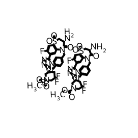 COC(=O)N1CC(n2nnc(-c3cc4c(cc3F)S(=O)(=O)C[C@H](N)C(=O)N4Cc3ccc(Cl)cc3)n2)CC(F)(F)C1.CS(=O)(=O)N1CC(n2nnc(-c3cc4c(cc3F)S(=O)(=O)C[C@H](N)C(=O)N4Cc3ccc(Cl)cc3)n2)CC(F)(F)C1